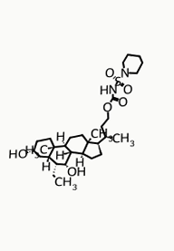 CC[C@H]1[C@@H](O)[C@@H]2[C@H](CC[C@]3(C)[C@@H]([C@H](C)CCOC(=O)NS(=O)(=O)N4CCCCC4)CC[C@@H]23)[C@@]2(C)CC[C@@H](O)C[C@@H]12